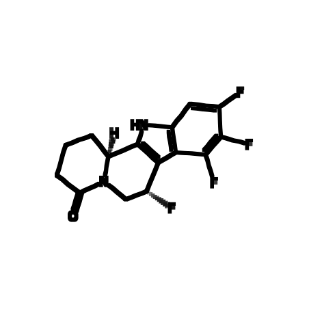 O=C1CCC[C@H]2c3[nH]c4cc(F)c(F)c(F)c4c3[C@H](F)CN12